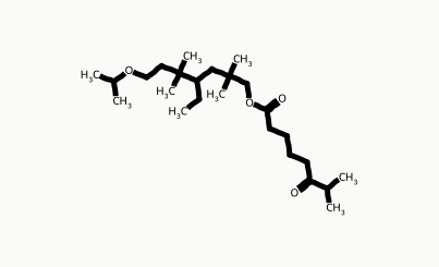 CCC(CC(C)(C)COC(=O)CCCCC(=O)C(C)C)C(C)(C)CCOC(C)C